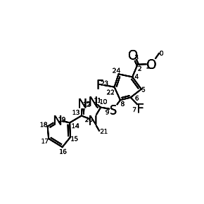 COC(=O)c1cc(F)c(Sc2nnc(-c3ccccn3)n2C)c(F)c1